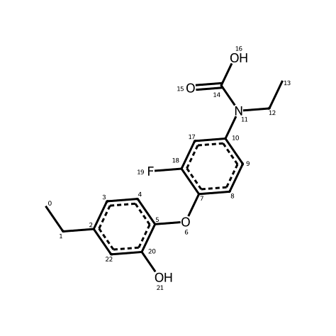 CCc1ccc(Oc2ccc(N(CC)C(=O)O)cc2F)c(O)c1